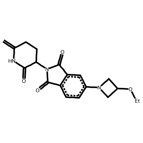 C=C1CCC(N2C(=O)c3ccc(N4CC(OCC)C4)cc3C2=O)C(=O)N1